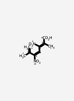 C=C(C)/C(=C\C(=C(/C)C(=O)O)[N+](=O)[O-])[N+](=O)[O-]